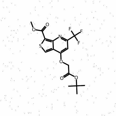 COC(=O)c1scc2c(OCC(=O)OC(C)(C)C)cc(C(F)(F)F)nc12